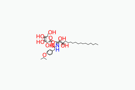 CCCCCCCCCCCCCC[C@@H](O)[C@@H](O)[C@H](CO[C@H]1OC(CO)[C@H](O)[C@H](O)C1O)NC(=O)Cc1ccc(OC(C)C)cc1